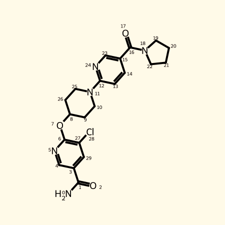 NC(=O)c1cnc(OC2CCN(c3ccc(C(=O)N4CCCC4)cn3)CC2)c(Cl)c1